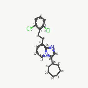 Clc1cccc(Cl)c1CCc1cccn2c(C3CCCCCC3)cnc12